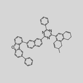 CC1C=Cc2c(-c3nc(-c4ccccc4)nc(-c4ccc5ccc(-c6cccc7oc8ccc(-c9ccccc9)cc8c67)cc5c4)n3)cc3c(c2C1)CCC=C3